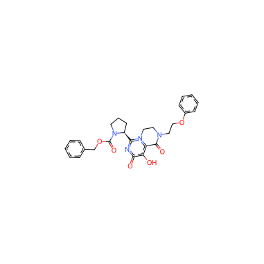 O=C1c2c(O)c(=O)nc([C@@H]3CCCN3C(=O)OCc3ccccc3)n2CCN1CCOc1ccccc1